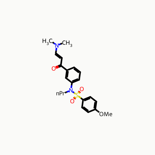 CCCN(c1cccc(C(=O)C=CN(C)C)c1)S(=O)(=O)c1ccc(OC)cc1